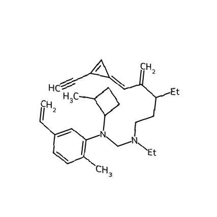 C#CC1=CC/1=C\C(=C)C(CC)CCN(CC)CN(c1cc(C=C)ccc1C)C1CCC1C